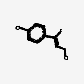 FC(=CCCl)c1ccc(Cl)cc1